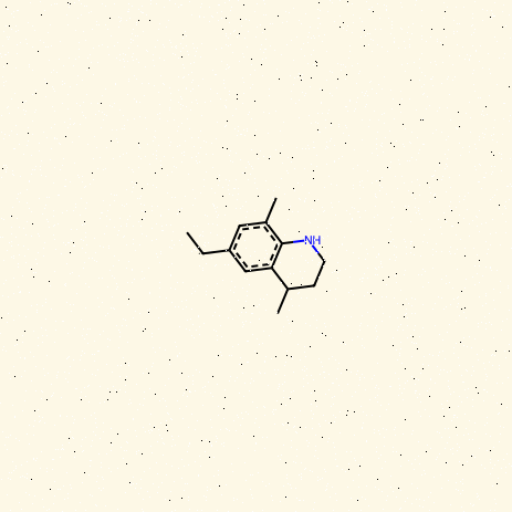 C[CH]c1cc(C)c2c(c1)C(C)CCN2